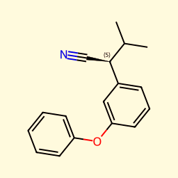 CC(C)[C@H](C#N)c1cccc(Oc2ccccc2)c1